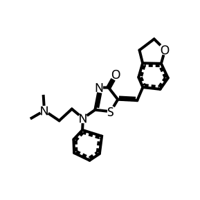 CN(C)CCN(C1=NC(=O)C(=Cc2ccc3c(c2)CCO3)S1)c1ccccc1